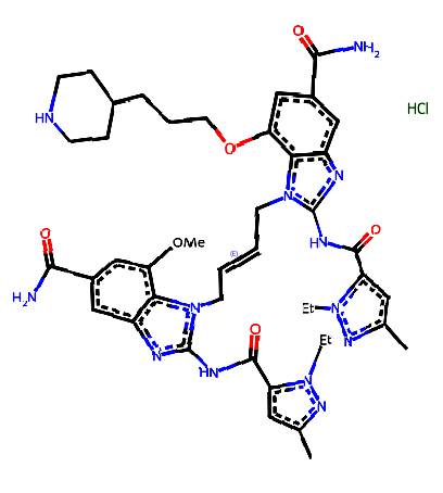 CCn1nc(C)cc1C(=O)Nc1nc2cc(C(N)=O)cc(OC)c2n1C/C=C/Cn1c(NC(=O)c2cc(C)nn2CC)nc2cc(C(N)=O)cc(OCCCC3CCNCC3)c21.Cl